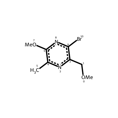 COCc1nc(C)c(OC)nc1Br